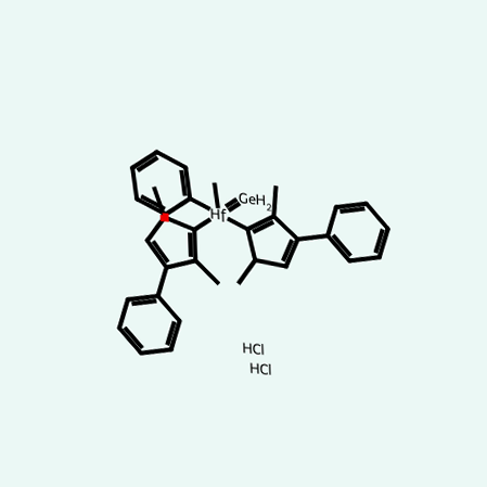 CC1=[C]([Hf]([CH3])(=[GeH2])([C]2=C(C)C(c3ccccc3)=CC2C)[c]2ccccc2)C(C)C=C1c1ccccc1.Cl.Cl